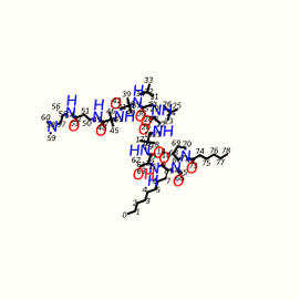 CCCCCCCC[C@@H](C(=O)N[C@H](C(=O)NC(C)(C)C(=O)N[C@@H](CC(C)C)C(=O)N[C@@H](CC(C)C)C(=O)NC(C)(C)C(=O)NC(C)(C)C(=O)NCCC(=O)N[C@@H](C)CN(C)C)[C@@H](C)O)N(C=O)[C@@H]1CCCN1C(=O)CCCCC